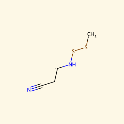 CSSN[CH]CC#N